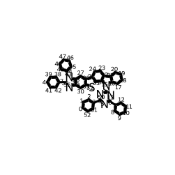 c1ccc(-c2nc(-c3ccccc3)nc(-n3c4ccccc4c4ccc5c6cc7c(cc6sc5c43)nc(-c3ccccc3)n7-c3ccccc3)n2)cc1